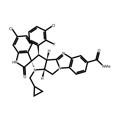 CNC(=O)c1ccc2c(c1)nc1n2C[C@H]2[C@@H]1[C@H](c1cccc(Cl)c1F)[C@]1(C(=O)Nc3cc(Cl)ccc31)N2CC1CC1